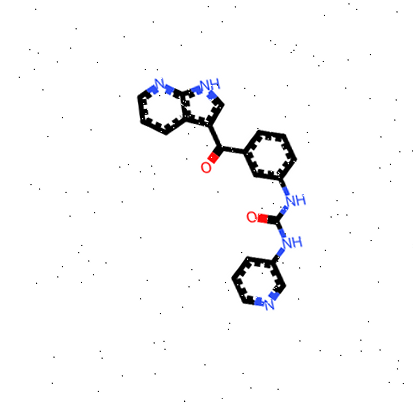 O=C(Nc1cccnc1)Nc1cccc(C(=O)c2c[nH]c3ncccc23)c1